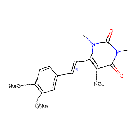 COc1ccc(/C=C/c2c([N+](=O)[O-])c(=O)n(C)c(=O)n2C)cc1OC